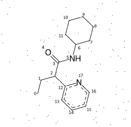 CCC(C(=O)NC1CCCCC1)c1ccccn1